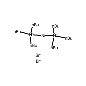 CCCC[N+](CCCC)(CCCC)[Ni][N+](CCCC)(CCCC)CCCC.[Br-].[Br-]